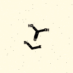 O=C(O)O.[K][CH2]Br